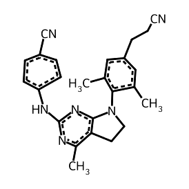 Cc1cc(CCC#N)cc(C)c1N1CCc2c(C)nc(Nc3ccc(C#N)cc3)nc21